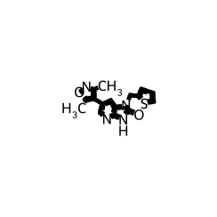 Cc1noc(C)c1-c1cnc2[nH]c(=O)n(Cc3cccs3)c2c1